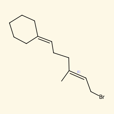 C/C(=C\CBr)CCC=C1CCCCC1